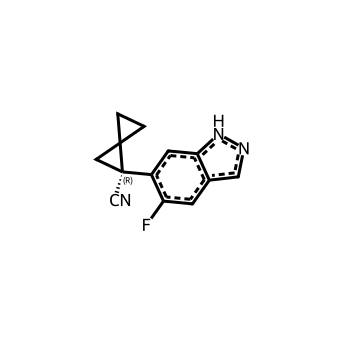 N#C[C@]1(c2cc3[nH]ncc3cc2F)CC12CC2